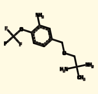 CC(N)(N)COCc1ccc(OC(F)(F)F)c(N)c1